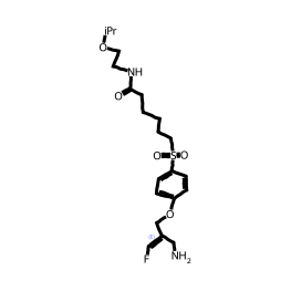 CC(C)OCCNC(=O)CCCCCS(=O)(=O)c1ccc(OC/C(=C/F)CN)cc1